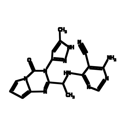 Cc1cc(-n2c(C(C)Nc3ncnc(N)c3C#N)nc3cccn3c2=O)n[nH]1